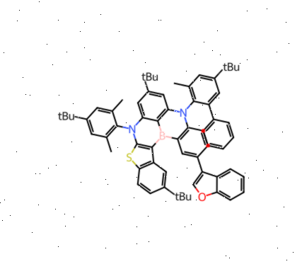 Cc1cc(C(C)(C)C)cc(C)c1N1c2cc(C(C)(C)C)cc3c2B(c2cc(-c4coc5ccccc45)ccc2N3c2c(C)cc(C(C)(C)C)cc2-c2ccccc2)c2c1sc1ccc(C(C)(C)C)cc21